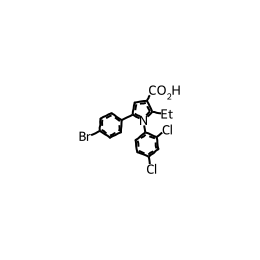 CCc1c(C(=O)O)cc(-c2ccc(Br)cc2)n1-c1ccc(Cl)cc1Cl